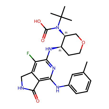 Cc1cccc(Nc2nc(N[C@@H]3CCOC[C@@H]3N(C(=O)O)C(C)(C)C)c(F)c3c2C(=O)NC3)c1